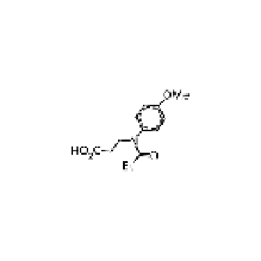 CCC(=O)N(CCC(=O)O)c1ccc(OC)cc1